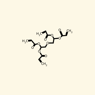 C=CC(=O)OC(COCC(OC(=O)C=C)OC(=O)C=C)OC(=O)C=C